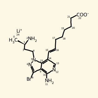 C[C@@H](N)CCn1nc(Br)c2c(N)ncc(/C=C/CCCCCC(=O)[O-])c21.[Li+]